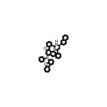 C1=C(c2ccccc2)N=C(c2cccc3oc4cc(N(c5ccccc5)c5cccc6c5oc5ccccc56)c5ccccc5c4c23)NC1c1ccc2ccccc2c1